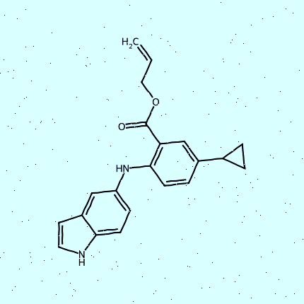 C=CCOC(=O)c1cc(C2CC2)ccc1Nc1ccc2[nH]ccc2c1